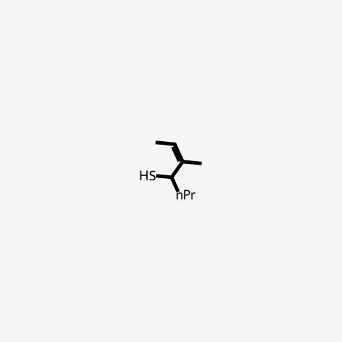 C/C=C(/C)C(S)CCC